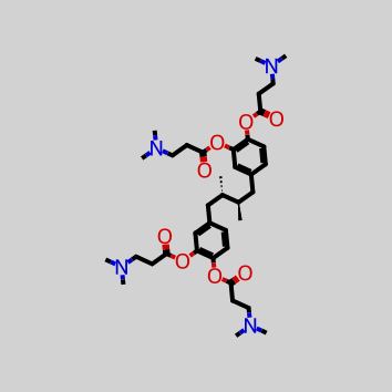 C[C@H](Cc1ccc(OC(=O)CCN(C)C)c(OC(=O)CCN(C)C)c1)[C@@H](C)Cc1ccc(OC(=O)CCN(C)C)c(OC(=O)CCN(C)C)c1